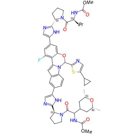 COC(=O)NC(C(=O)N1CCC[C@H]1c1ncc(-c2ccc3c(c2)cc2n3C(c3ncc(C4CC4)s3)Oc3cc(-c4cnc([C@@H]5CCCN5C(=O)[C@@H](NC(=O)OC)C(C)C)[nH]4)cc(F)c3-2)[nH]1)C1C[C@@H](C)O[C@@H](C)C1